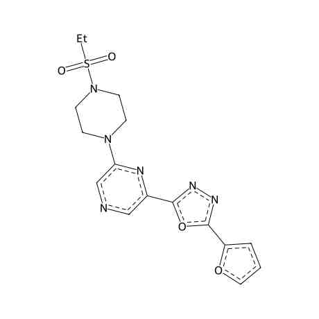 CCS(=O)(=O)N1CCN(c2cncc(-c3nnc(-c4ccco4)o3)n2)CC1